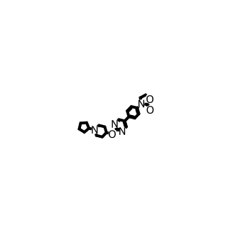 O=C1OCCN1c1ccc(-c2cnc(OC3CCN(C4CCCC4)CC3)nc2)cc1